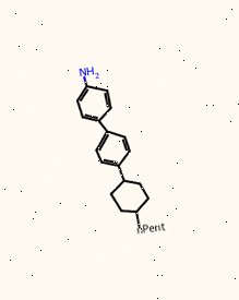 CCCCCC1CCC(c2ccc(-c3ccc(N)cc3)cc2)CC1